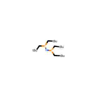 CC(C)(C)CP(CC(C)(C)C)[N]P(CC(C)(C)C)CC(C)(C)C